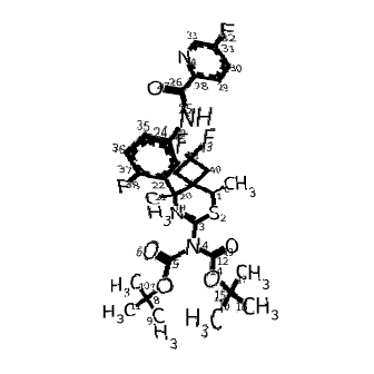 C[C@H]1SC(N(C(=O)OC(C)(C)C)C(=O)OC(C)(C)C)=N[C@](C)(c2cc(NC(=O)c3ccc(F)cn3)ccc2F)C12CC(F)(F)C2